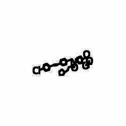 CC1(C)OC(=O)c2ccc(N(Cc3ccc(C#Cc4ccc(Cl)cc4)cc3)C(=O)CCC3CCCC3)cc2O1